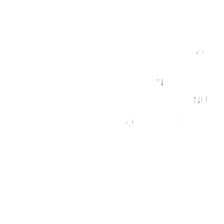 CC1(C)NC(=O)N(Cc2ccc(C(C)(C)C)cc2)C1=O